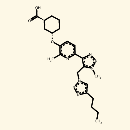 CCCCc1cn(Cc2c(-c3ccc(O[C@H]4CCC[C@H](C(=O)O)C4)c(C)n3)nnn2C)nn1